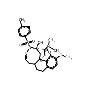 COc1ccc2c(c1OC)[C@]1(CCN(C)C)C[C@H](O)N(S(=O)(=O)c3ccc(C)cc3)/N=C\CC1CC2